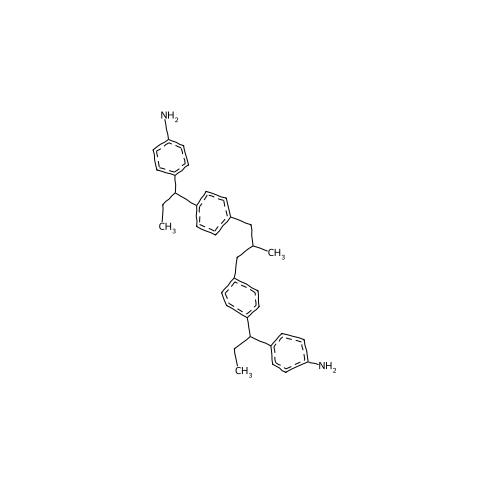 CCC(c1ccc(N)cc1)c1ccc(CC(C)Cc2ccc(C(CC)c3ccc(N)cc3)cc2)cc1